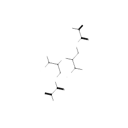 C=C(C)C(=O)OCC(OC(COC(=O)C(=C)C)C(C)C)C(C)C